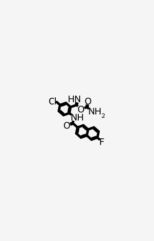 N=C(OC(N)=O)c1cc(Cl)ccc1NC(=O)c1ccc2cc(F)ccc2c1